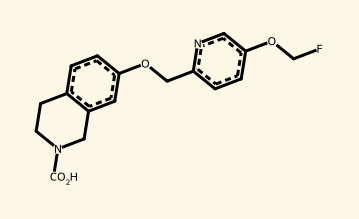 O=C(O)N1CCc2ccc(OCc3ccc(OCF)cn3)cc2C1